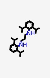 CC(C)c1cccc(C(C)C)c1NCCCNc1c(C(C)C)cccc1C(C)C